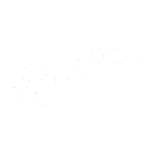 Cc1ccc(C(C)C)c(N2C(=O)CS/C2=N\C(=O)NCCc2ccc(-c3ncn(-c4ccc(OC(F)(F)F)cc4)n3)cc2)c1